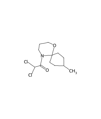 CC1CCC2(CC1)OCCCN2C(=O)C(Cl)Cl